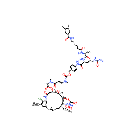 COc1cc2cc(c1Cl)N(C)C(=O)C[C@@H](OC(=O)[C@H](C)N(C)C(=O)CCN(C)C(=O)OCc1ccc(NC(=O)[C@H](CCCNC(N)=O)NC(=O)[C@@H](NC(=O)CCCCCNC(=O)C3CC(C)[C@@H](C)C3)C(C)C)cc1)[C@]1(C)O[C@H]1[C@H](C)[C@@H]1C[C@@](O)(NC(=O)O1)[C@H](OC)/C=C/C=C(\C)C2